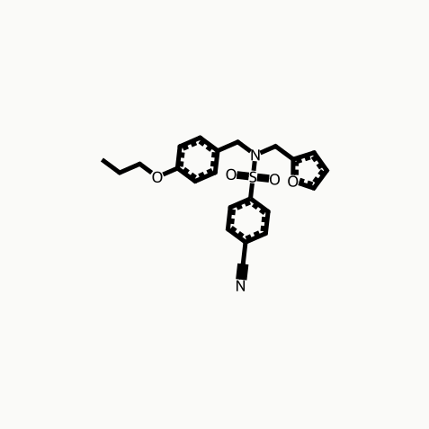 CCCOc1ccc(CN(Cc2ccco2)S(=O)(=O)c2ccc(C#N)cc2)cc1